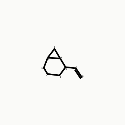 C=CC1CCCC2CC12